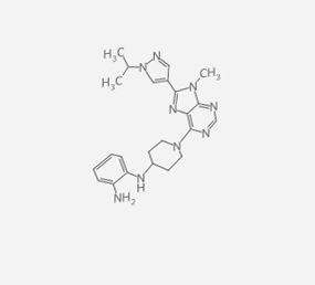 CC(C)n1cc(-c2nc3c(N4CCC(Nc5ccccc5N)CC4)ncnc3n2C)cn1